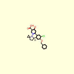 O=C(O)c1cn2c(cc1=O)-c1cc(Cl)c(OCc3ccccc3)cc1[C@H]1CCC3(CC3)N12